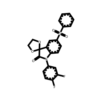 O=C1N(c2ccc(F)c(F)c2)c2ccc(S(=O)(=O)c3ccccc3)cc2C12OCCO2